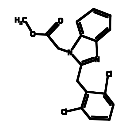 COC(=O)Cn1c(Cc2c(Cl)cccc2Cl)nc2ccccc21